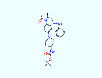 CC(=O)N1c2ccc(N3CCC(NC(=O)OC(C)(C)C)CC3)cc2[C@H](Nc2ccccc2)[C@@H](C)[C@@H]1C